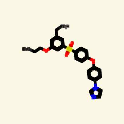 COCCOc1cc(CC(=O)O)cc(S(=O)(=O)c2ccc(Oc3ccc(-n4ccnc4)cc3)cc2)c1